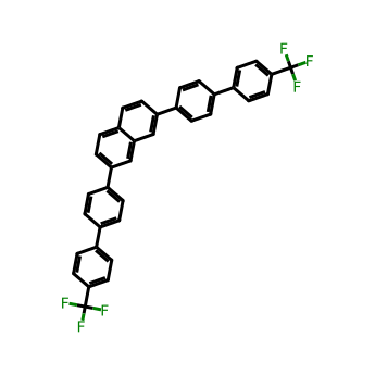 FC(F)(F)c1ccc(-c2ccc(-c3ccc4ccc(-c5ccc(-c6ccc(C(F)(F)F)cc6)cc5)cc4c3)cc2)cc1